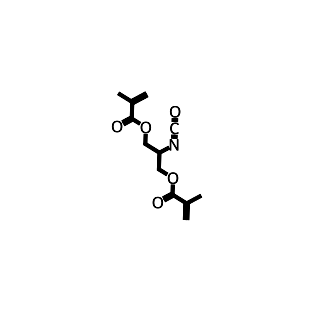 C=C(C)C(=O)OCC(COC(=O)C(=C)C)N=C=O